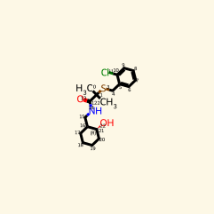 CC(C)(SCc1ccccc1Cl)C(=O)NCC1CCCC[C@H]1O